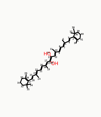 CC1=C(/C=C/C(C)=C/C=C/C(C)=C/C(O)=C(O)/C=C(C)/C=C/C=C(C)/C=C/C2=C(C)CCCC2(C)C)C(C)(C)CCC1